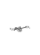 C=Cc1cccc(C(C)(C)NC(=O)NCCCCCC)c1